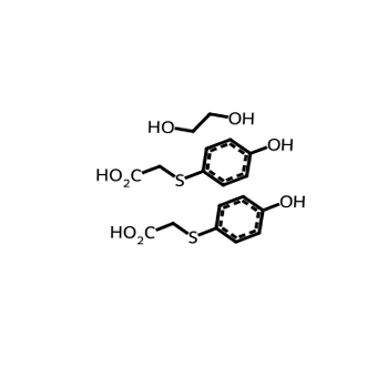 O=C(O)CSc1ccc(O)cc1.O=C(O)CSc1ccc(O)cc1.OCCO